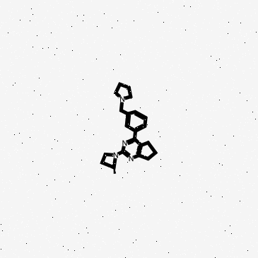 C[C@H]1CCN1c1nc2c(c(-c3cccc(CN4CCCC4)c3)n1)CCC2